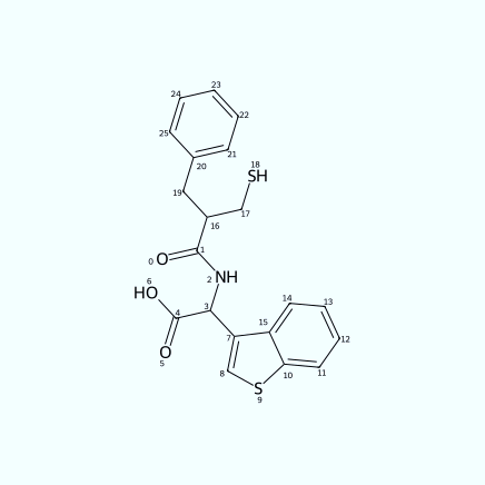 O=C(NC(C(=O)O)c1csc2ccccc12)C(CS)Cc1ccccc1